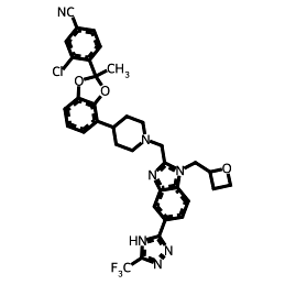 CC1(c2ccc(C#N)cc2Cl)Oc2cccc(C3CCN(Cc4nc5cc(-c6nnc(C(F)(F)F)[nH]6)ccc5n4CC4CCO4)CC3)c2O1